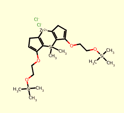 C[Si](C)(C)OCCOC1=CC[C]2=C1[Si](C)(C)C1=[C](CC=C1OCCO[Si](C)(C)C)[Zr+2]2.[Cl-].[Cl-]